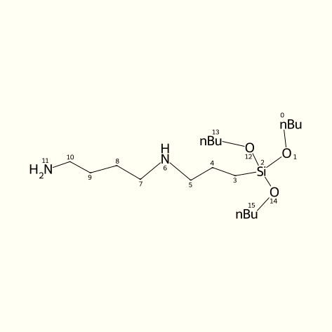 CCCCO[Si](CCCNCCCCN)(OCCCC)OCCCC